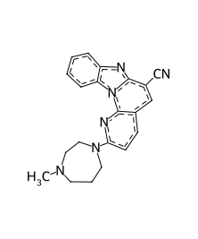 CN1CCCN(c2ccc3cc(C#N)c4nc5ccccc5n4c3n2)CC1